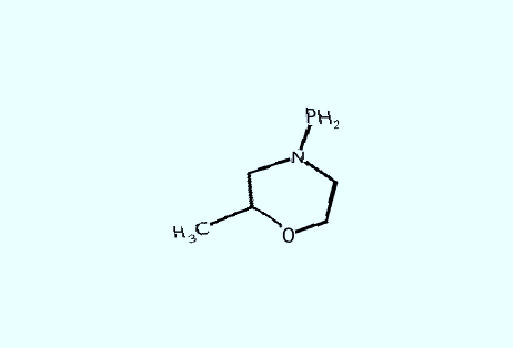 CC1CN(P)CCO1